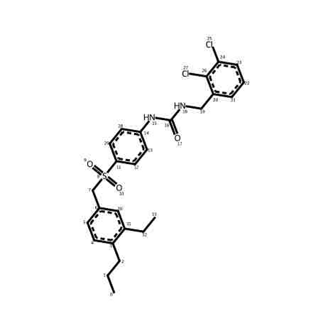 CCCc1ccc(CS(=O)(=O)c2ccc(NC(=O)NCc3cccc(Cl)c3Cl)cc2)cc1CC